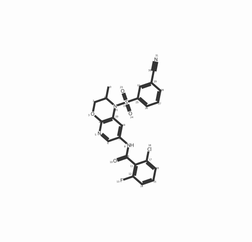 CC1COc2ncc(NC(=O)c3c(F)cccc3Cl)cc2N1S(=O)(=O)c1cccc(C#N)c1